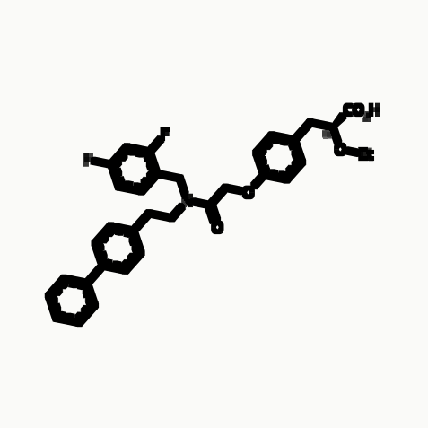 CCO[C@@H](Cc1ccc(OCC(=O)N(CCc2ccc(-c3ccccc3)cc2)Cc2ccc(F)cc2F)cc1)C(=O)O